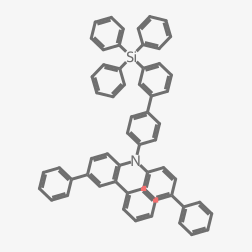 c1ccc(-c2ccc(N(c3ccc(-c4cccc([Si](c5ccccc5)(c5ccccc5)c5ccccc5)c4)cc3)c3ccc(-c4ccccc4)cc3-c3ccccc3)cc2)cc1